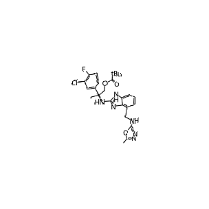 Cc1nnc(NCc2cccc3[nH]c(NC(C)(COC(=O)C(C)(C)C)c4ccc(F)c(Cl)c4)nc23)o1